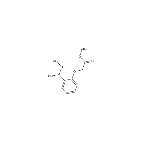 CCCCOC(=O)COc1ccccc1C(O)OC(C)(C)C